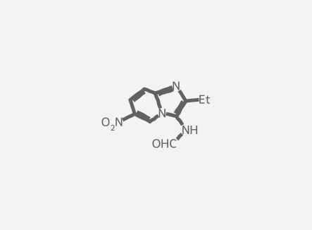 CCc1nc2ccc([N+](=O)[O-])cn2c1NC=O